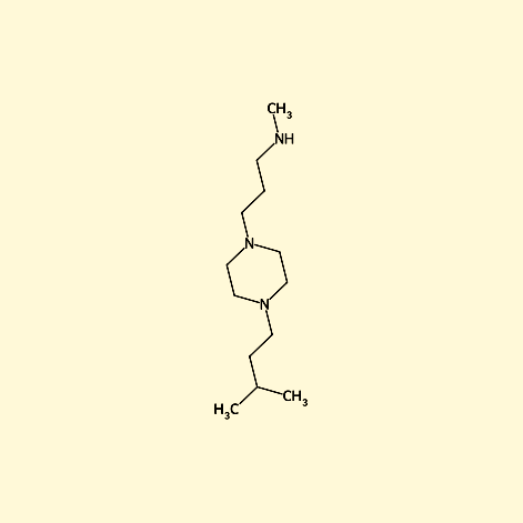 CNCCCN1CCN(CCC(C)C)CC1